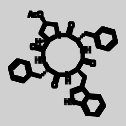 CC(=O)O[C@@H]1C[C@@H]2C(=O)N[C@@H](Cc3ccccc3)C(=O)N[C@H](Cc3c[nH]c4ccccc34)C(=O)N[C@@H](Cc3ccccc3)C(=O)N2C1